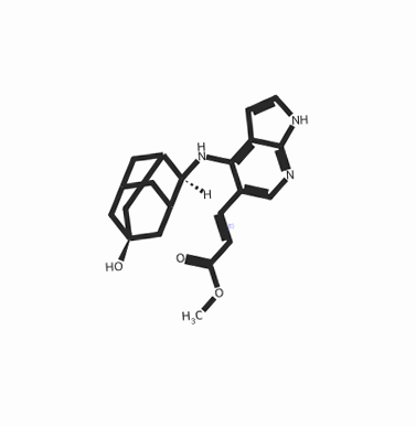 COC(=O)/C=C/c1cnc2[nH]ccc2c1N[C@H]1C2CC3CC1C[C@@](O)(C3)C2